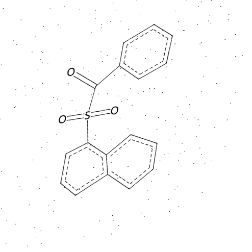 O=C(c1ccccc1)S(=O)(=O)c1cccc2ccccc12